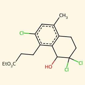 CCOC(=O)CCc1c(Cl)cc(C)c2c1C(O)C(Cl)(Cl)CC2